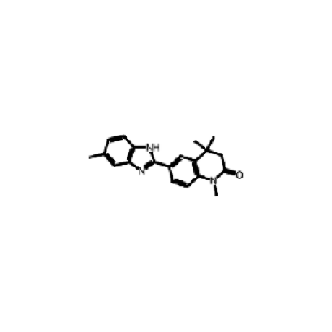 Cc1ccc2[nH]c(-c3ccc4c(c3)C(C)(C)CC(=O)N4C)nc2c1